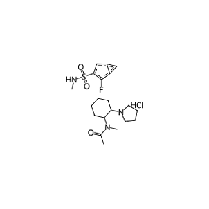 CC(=O)N(C)C1CCCCC1N1CCCC1.CNS(=O)(=O)c1cc2cc-2c1F.Cl